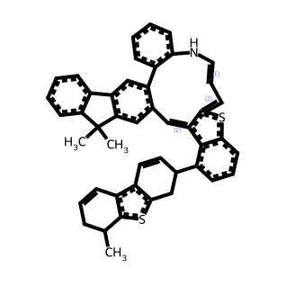 CC1CC=Cc2c1sc1c2C=CC(c2cccc3sc4/c(c23)=C\c2cc3c(cc2-c2ccccc2N/C=C/C=4)-c2ccccc2C3(C)C)C1